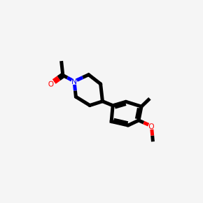 COc1ccc(C2CCN(C(C)=O)CC2)cc1C